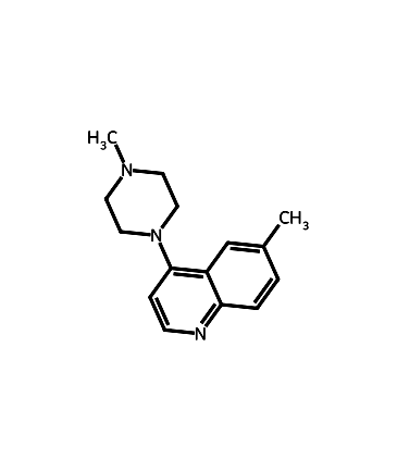 Cc1ccc2nccc(N3CCN(C)CC3)c2c1